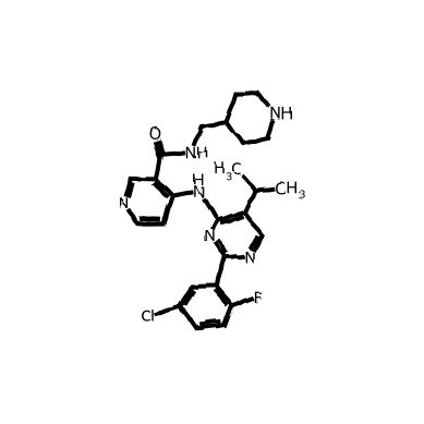 CC(C)c1cnc(-c2cc(Cl)ccc2F)nc1Nc1ccncc1C(=O)NCC1CCNCC1